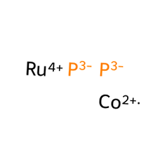 [Co+2].[P-3].[P-3].[Ru+4]